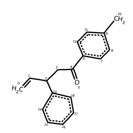 C=CC(CC(=O)c1ccc(C)cc1)c1ccccc1